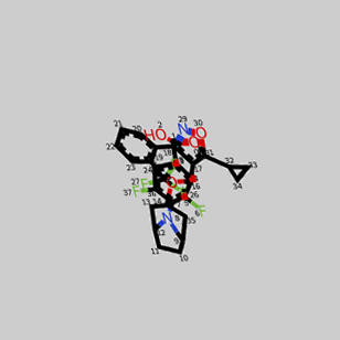 O=C(O)c1cc(F)c(N2C3CCC2CC(OCc2c(-c4ccccc4C(F)(F)F)noc2C2CC2)C3)c(F)c1